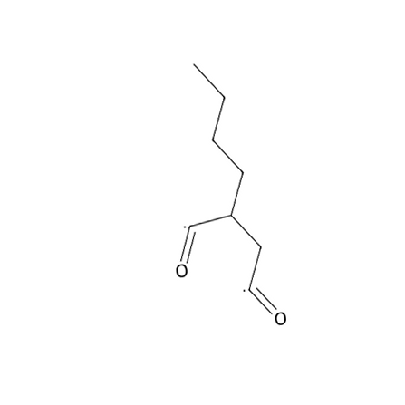 CCCCC([C]=O)C[C]=O